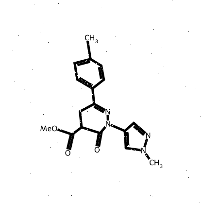 COC(=O)C1CC(c2ccc(C)cc2)=NN(c2cnn(C)c2)C1=O